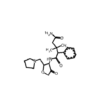 CC(C)(CC(N)=O)C(C(=O)NC1C(=O)COC1CN1CCCC1)c1ccccc1